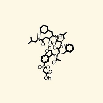 CC(=O)N(C1COc2ccc(S(=O)(=O)CC(=O)O)cc21)[C@@H](Cc1ccccc1)C(=O)N[C@@H](CC(C)C)C(=O)NC(CC1CCCCC1)C(O)CC(=O)NCC(C)C